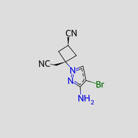 N#CC[C@]1(n2cc(Br)c(N)n2)C[C@H](C#N)C1